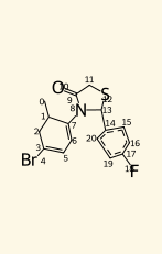 CC1CC(Br)=CC=C1N1C(=O)CSC1c1ccc(F)cc1